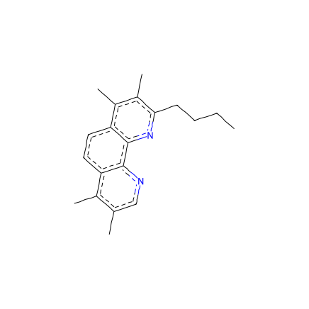 CCCCc1nc2c(ccc3c(C)c(C)cnc32)c(C)c1C